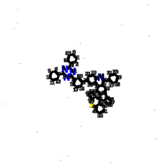 c1ccc(-c2nc(-c3ccccc3)nc(-c3cccc(-c4ccc5nc(-c6ccccc6)c6cc7c(cc6c5c4)C4(c5ccccc5Sc5ccccc54)c4ccccc4-7)c3)n2)cc1